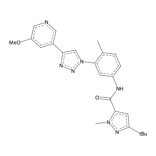 COc1cncc(-c2cn(-c3cc(NC(=O)c4cc(C(C)(C)C)nn4C)ccc3C)nn2)c1